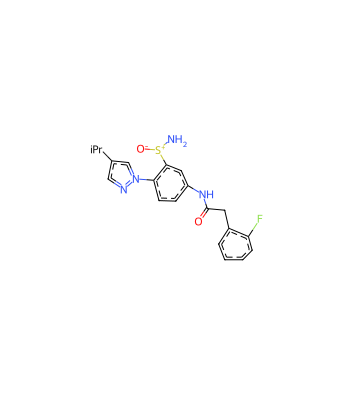 CC(C)c1cnn(-c2ccc(NC(=O)Cc3ccccc3F)cc2[S+](N)[O-])c1